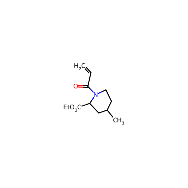 C=CC(=O)N1CCC(C)CC1C(=O)OCC